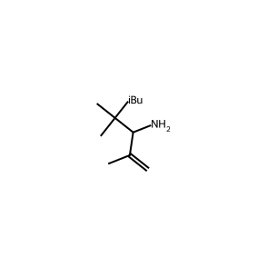 C=C(C)C(N)C(C)(C)C(C)CC